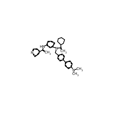 C=C(Nc1cccc(N(Cc2ccc(-c3ccc(N(C)C)cc3)cc2)C(=C)C2CCCCC2)c1)c1ccncc1